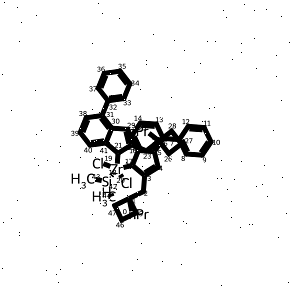 CCCC1(CC2=Cc3c(-c4ccccc4)cccc3[CH]2[Zr]([Cl])([Cl])([CH]2C(CC3(CCC)CCC3)=Cc3c(-c4ccccc4)cccc32)[SiH](C)C)CCC1